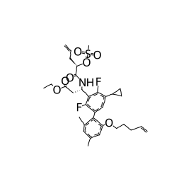 C=CCCCOc1cc(C)cc(C)c1-c1cc(C2CC2)c(F)c([C@H](CC(=O)OCC)NC(=O)[C@@H](CC=C)OS(C)(=O)=O)c1F